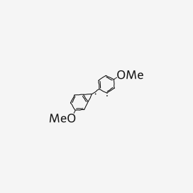 COc1c[c]c([C]2c3ccc(OC)cc32)cc1